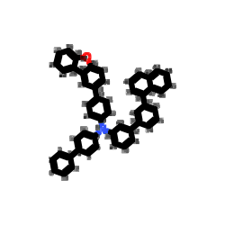 c1ccc(-c2ccc(N(c3ccc(-c4ccc5oc6ccccc6c5c4)cc3)c3cccc(-c4cccc(-c5cccc6ccccc56)c4)c3)cc2)cc1